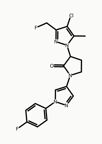 Cc1c(Cl)c(CF)nn1C1CCN(c2cnn(-c3ccc(F)cc3)c2)C1=O